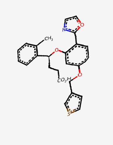 Cc1ccccc1[C@H](CCC(=O)O)Oc1cc(OCc2ccsc2)ccc1-c1ncco1